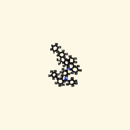 CC1(C)c2cc(-c3ccccc3)ccc2-c2ccc(N(c3ccc4c5c(-c6ccccc6)cccc5n(-c5ccccc5)c4c3)c3ccccc3-c3ccccc3)cc21